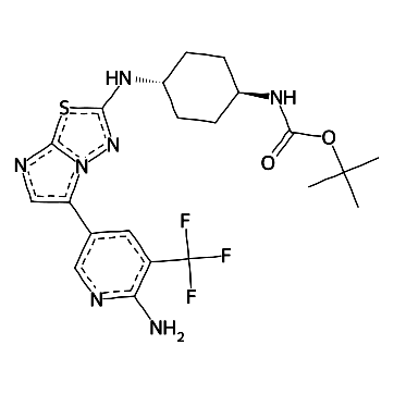 CC(C)(C)OC(=O)N[C@H]1CC[C@H](Nc2nn3c(-c4cnc(N)c(C(F)(F)F)c4)cnc3s2)CC1